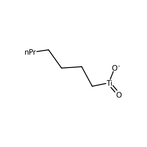 CCCCCC[CH2][Ti](=[O])[O-]